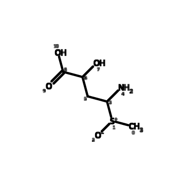 C[S+]([O-])C(N)CC(O)C(=O)O